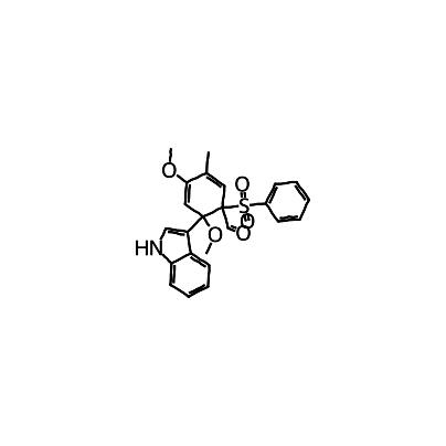 COC1=CC(OC)(c2c[nH]c3ccccc23)C(C=O)(S(=O)(=O)c2ccccc2)C=C1C